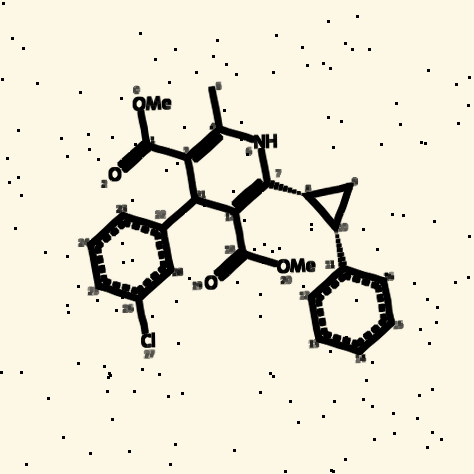 COC(=O)C1=C(C)NC([C@@H]2C[C@@H]2c2ccccc2)=C(C(=O)OC)C1c1cccc(Cl)c1